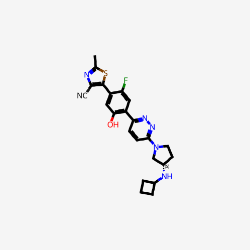 Cc1nc(C#N)c(-c2cc(O)c(-c3ccc(N4CC[C@H](NC5CCC5)C4)nn3)cc2F)s1